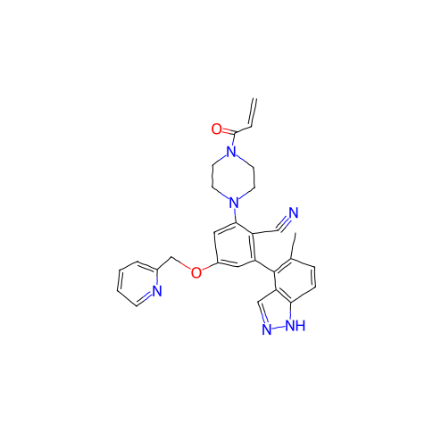 C=CC(=O)N1CCN(c2cc(OCc3ccccn3)cc(-c3c(C)ccc4[nH]ncc34)c2C#N)CC1